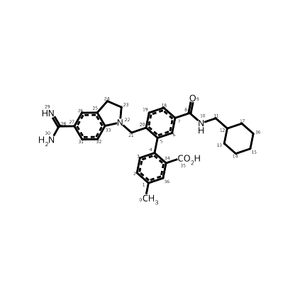 Cc1ccc(-c2cc(C(=O)NCC3CCCCC3)ccc2CN2CCc3cc(C(=N)N)ccc32)c(C(=O)O)c1